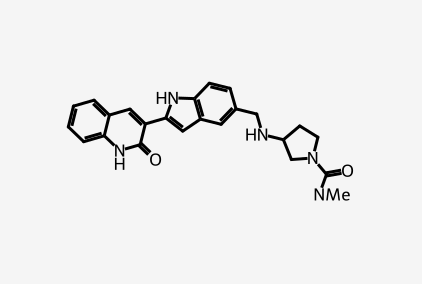 CNC(=O)N1CCC(NCc2ccc3[nH]c(-c4cc5ccccc5[nH]c4=O)cc3c2)C1